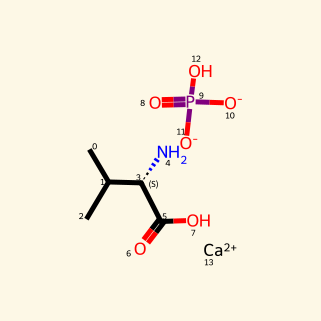 CC(C)[C@H](N)C(=O)O.O=P([O-])([O-])O.[Ca+2]